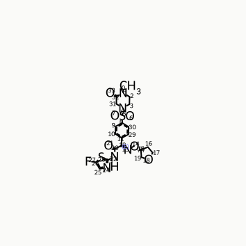 CN1CCN(S(=O)(=O)c2ccc(/C(=N\O[C@@H]3CCOC3)C(=O)Nc3ncc(F)s3)cc2)CC1=O